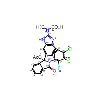 CC(=O)OC1(c2ccc3nc(N(C)C(=O)O)[nH]c3c2)c2ccccc2C(=O)N1c1ccc(Cl)c(Cl)c1F